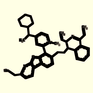 C=CC1=NC(C=C)C(CCc2ccc3c(oc4nc(CC(C)(C)C)ccc43)c2-c2cc(C(C)C3CCCCC3)cc[n+]2C)c2ccccc21